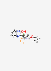 Oc1nc2ccccc2nc1C(F)(P)/C=C/COC1CCCC1